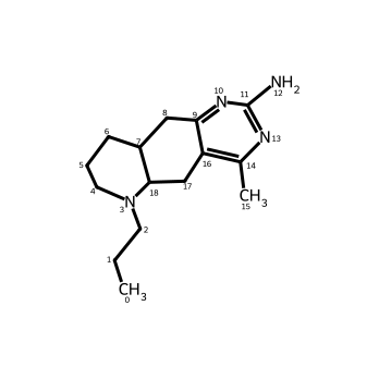 CCCN1CCCC2Cc3nc(N)nc(C)c3CC21